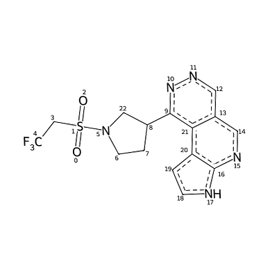 O=S(=O)(CC(F)(F)F)N1CCC(c2nncc3cnc4[nH]ccc4c23)C1